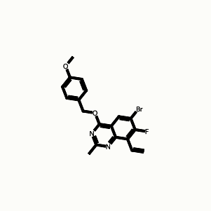 C=Cc1c(F)c(Br)cc2c(OCc3ccc(OC)cc3)nc(C)nc12